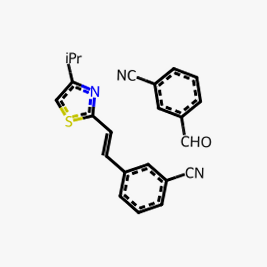 CC(C)c1csc(/C=C/c2cccc(C#N)c2)n1.N#Cc1cccc(C=O)c1